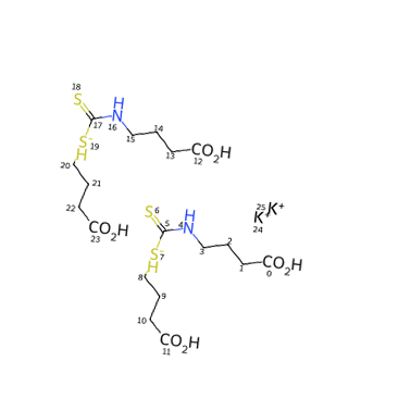 O=C(O)CCCNC(=S)[SH-]CCCC(=O)O.O=C(O)CCCNC(=S)[SH-]CCCC(=O)O.[K+].[K+]